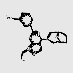 CCn1ncc2c(N3CC4CCC(C3)O4)nc(-c3cccc(O)c3)nc21